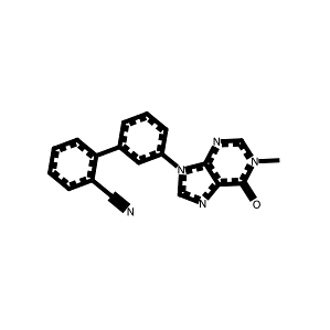 Cn1cnc2c(ncn2-c2cccc(-c3ccccc3C#N)c2)c1=O